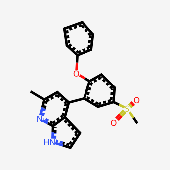 Cc1cc(-c2cc(S(C)(=O)=O)ccc2Oc2ccccc2)c2cc[nH]c2n1